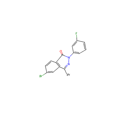 CC(C)c1nn(-c2cccc(F)c2)c(=O)c2ccc(Br)cc12